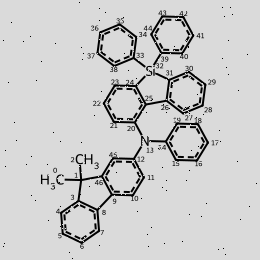 CC1(C)c2ccccc2-c2ccc(N(c3ccccc3)c3cccc4c3-c3ccccc3[Si]4(c3ccccc3)c3ccccc3)cc21